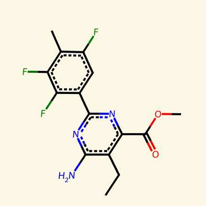 CCc1c(N)nc(-c2cc(F)c(C)c(F)c2F)nc1C(=O)OC